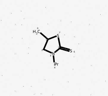 CC1CN(C(C)C)C(=S)S1